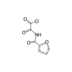 O=C(Cl)C(=O)NC(=O)c1ccco1